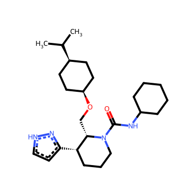 CC(C)[C@H]1CC[C@@H](OC[C@H]2[C@@H](c3cc[nH]n3)CCCN2C(=O)NC2CCCCC2)CC1